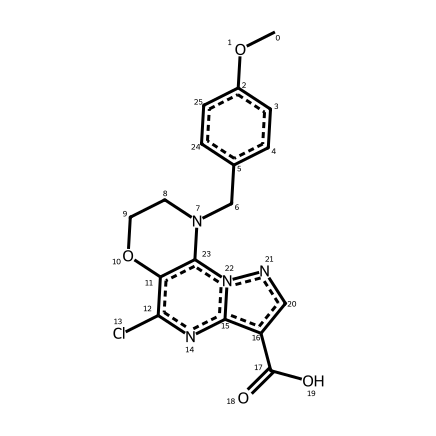 COc1ccc(CN2CCOc3c(Cl)nc4c(C(=O)O)cnn4c32)cc1